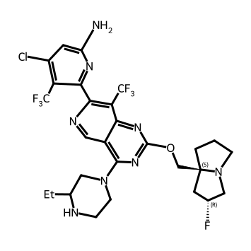 CCC1CN(c2nc(OC[C@@]34CCCN3C[C@H](F)C4)nc3c(C(F)(F)F)c(-c4nc(N)cc(Cl)c4C(F)(F)F)ncc23)CCN1